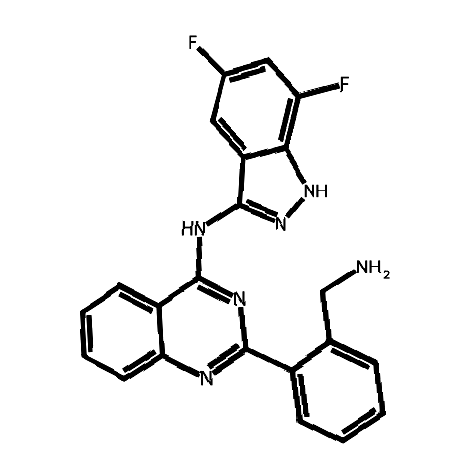 NCc1ccccc1-c1nc(Nc2n[nH]c3c(F)cc(F)cc23)c2ccccc2n1